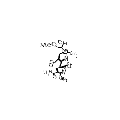 CCc1cc2c(nc1-c1cc(C(N)=O)c(OC(C)C)nc1CC)c(C)cn2C(CO)COC